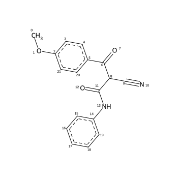 COc1ccc(C(=O)C(C#N)C(=O)Nc2ccccc2)cc1